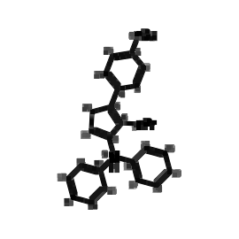 CCCCc1ccc(C2=C(CCC)C([SiH](c3ccccc3)c3ccccc3)=CC2)cc1